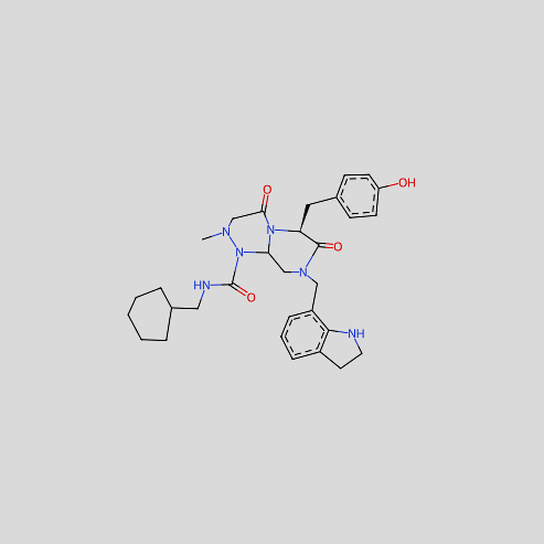 CN1CC(=O)N2C(CN(Cc3cccc4c3NCC4)C(=O)[C@@H]2Cc2ccc(O)cc2)N1C(=O)NCC1CCCCC1